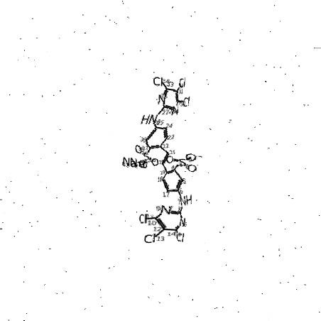 O=S(=O)([O-])c1cc(Nc2nc(Cl)c(Cl)c(Cl)n2)ccc1C=Cc1ccc(Nc2nc(Cl)c(Cl)c(Cl)n2)cc1S(=O)(=O)[O-].[Na+].[Na+]